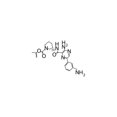 C=C(C)OC(=O)N1CCC[C@H](NC(=O)c2nc(-c3cccc(CN)c3)cnc2N)C1